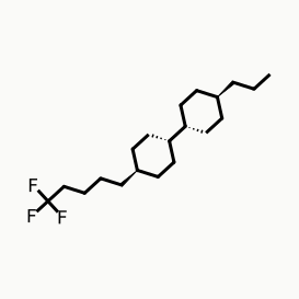 CCC[C@H]1CC[C@H]([C@H]2CC[C@H](CCCCC(F)(F)F)CC2)CC1